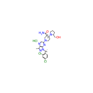 Cc1nn([C@H](C)c2ccc(Cl)cc2Cl)c2nc(N3CC[C@H](N4CCCC4CO)[C@H](C(N)=O)C3)cnc12.Cl